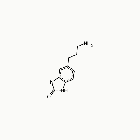 NCCCc1ccc2c(c1)[N]C(=O)N2